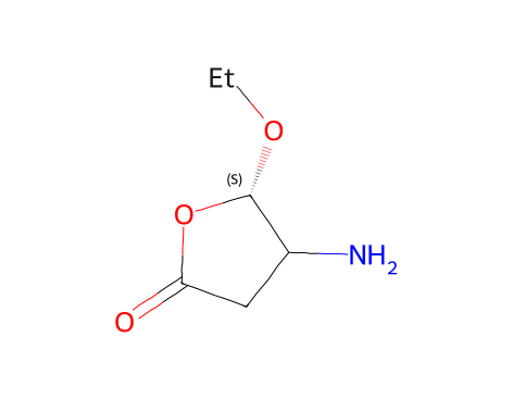 CCO[C@H]1OC(=O)CC1N